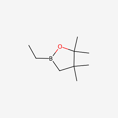 CCB1CC(C)(C)C(C)(C)O1